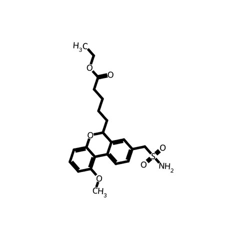 CCOC(=O)CCCCC1Oc2cccc(OC)c2-c2ccc(CS(N)(=O)=O)cc21